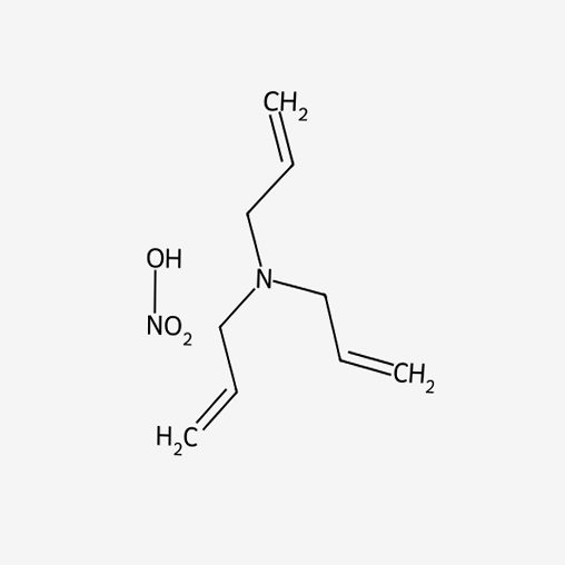 C=CCN(CC=C)CC=C.O=[N+]([O-])O